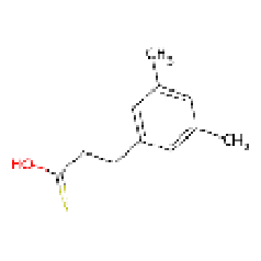 Cc1cc(C)cc(CCC(O)=S)c1